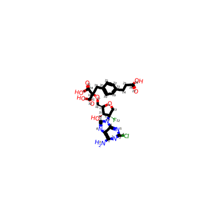 Nc1nc(Cl)nc2c1ncn2[C@]1(F)CO[C@H](COC(Cc2ccc(CCC(=O)O)cc2)(C(=O)O)C(=O)O)[C@H]1O